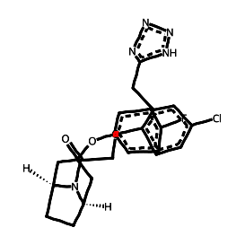 O=C(COc1ccc(Cl)cc1Cc1nnn[nH]1)N1[C@@H]2CC[C@H]1CC(Oc1ccc(F)cc1)C2